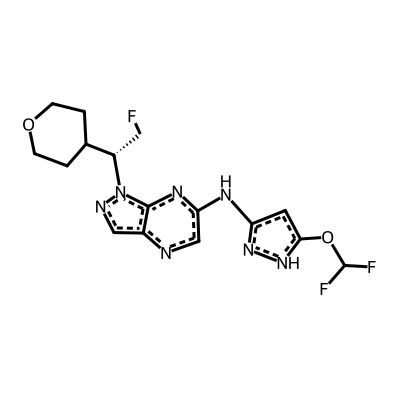 FC[C@@H](C1CCOCC1)n1ncc2ncc(Nc3cc(OC(F)F)[nH]n3)nc21